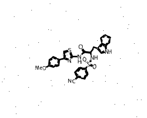 COc1ccc(-c2csc(NC(=O)C(Cc3c[nH]c4ccccc34)NS(=O)(=O)c3ccc(C#N)cc3)n2)cc1